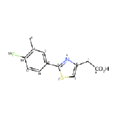 Cc1cc(-c2nc(CC(=O)O)cs2)ccc1F